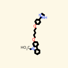 O=C(O)Cn1c2ccccc2c2ccc(OCCCCCOc3ccc(-c4ncc[nH]4)cc3)cc21